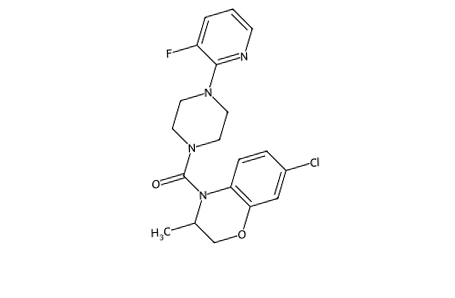 CC1COc2cc(Cl)ccc2N1C(=O)N1CCN(c2ncccc2F)CC1